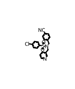 N#Cc1ccc(CN(Cc2cccnc2)S(=O)(=O)c2ccc(Cl)cc2)cc1